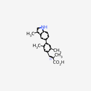 C/C(=C\c1cc(C)c(-c2ccc3[nH]cc(C)c3c2)cc1C)C(=O)O